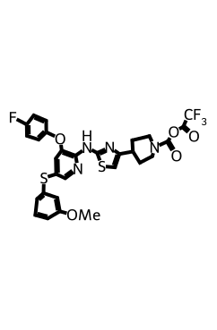 COc1cccc(Sc2cnc(Nc3nc(C4CCN(C(=O)OC(=O)C(F)(F)F)CC4)cs3)c(Oc3ccc(F)cc3)c2)c1